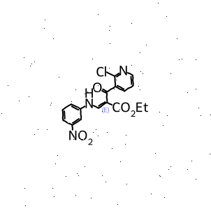 CCOC(=O)/C(=C/Nc1cccc([N+](=O)[O-])c1)C(=O)c1cccnc1Cl